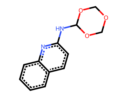 c1ccc2nc(NC3OCOCO3)ccc2c1